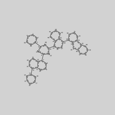 c1ccc(-c2nc(-c3cccc4c(-c5ccccc5)cccc34)nc(-c3ccc(-c4cccc5c4sc4ccccc45)c4ccccc34)n2)cc1